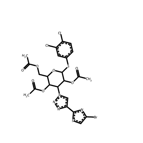 CC(=O)OCC1OC(Sc2ccc(Cl)c(Cl)c2)C(OC(C)=O)C(n2cc(-c3nc(Br)cs3)nn2)C1OC(C)=O